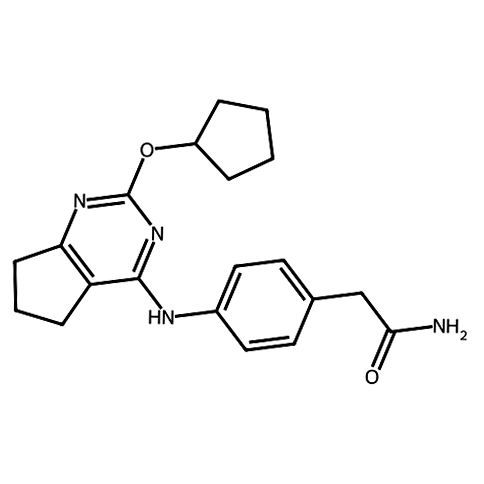 NC(=O)Cc1ccc(Nc2nc(OC3CCCC3)nc3c2CCC3)cc1